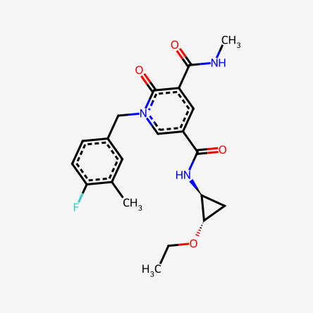 CCO[C@H]1C[C@@H]1NC(=O)c1cc(C(=O)NC)c(=O)n(Cc2ccc(F)c(C)c2)c1